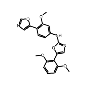 COc1cc(Nc2ncc(-c3c(OC)cccc3OC)o2)ccc1-c1cnco1